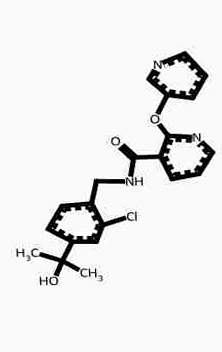 CC(C)(O)c1ccc(CNC(=O)c2cccnc2Oc2cccnc2)c(Cl)c1